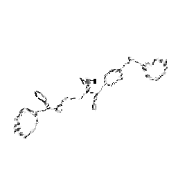 N=C(CCOC(=O)c1ccccc1)C(=O)c1ccc(Sc2ccccc2)cc1